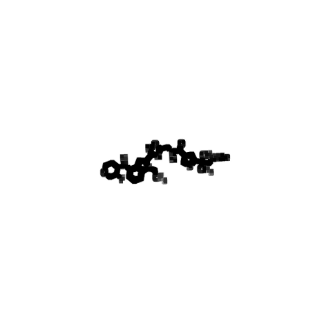 COCC(C)(C)c1cc(C(=O)NCc2nc(-c3cc4c(N[C@@H]5CCOC[C@@H]5F)cccc4n3CC(F)(F)F)no2)cs1